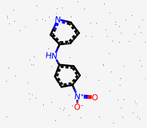 O=[N+]([O-])c1ccc(Nc2cccnc2)cc1